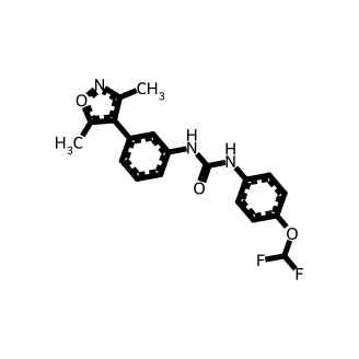 Cc1noc(C)c1-c1cccc(NC(=O)Nc2ccc(OC(F)F)cc2)c1